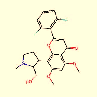 COc1cc(OC)c2c(=O)cc(-c3c(F)cccc3F)oc2c1C1CCN(C)C1CO